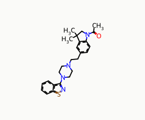 CC(=O)N1CC(C)(C)c2cc(CCN3CCN(c4nsc5ccccc45)CC3)ccc21